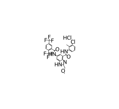 COCc1nc2c(C(=O)Nc3cccc(Cl)c3C)cc(NC(=O)c3cc(C(F)(F)F)ccc3C(F)(F)F)cc2[nH]1.Cl